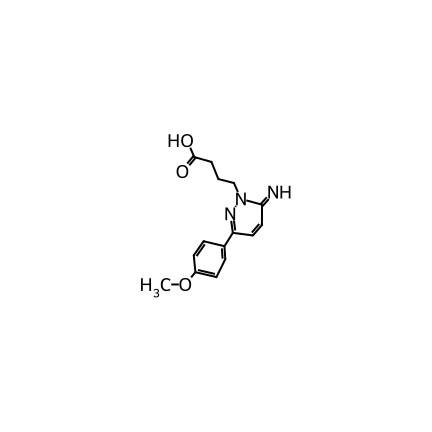 COc1ccc(-c2ccc(=N)n(CCCC(=O)O)n2)cc1